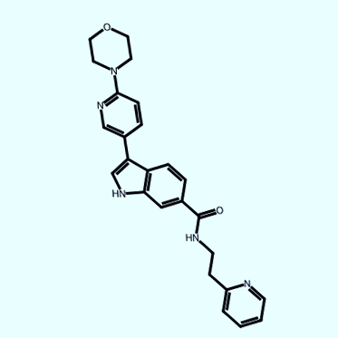 O=C(NCCc1ccccn1)c1ccc2c(-c3ccc(N4CCOCC4)nc3)c[nH]c2c1